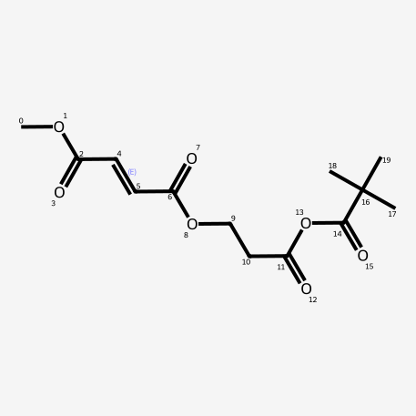 COC(=O)/C=C/C(=O)OCCC(=O)OC(=O)C(C)(C)C